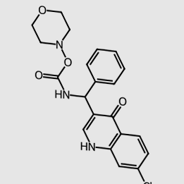 O=C(NC(c1ccccc1)c1c[nH]c2cc(Cl)ccc2c1=O)ON1CCOCC1